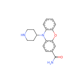 NC(=O)c1ccc2c(c1)Oc1ccccc1N2C1CCNCC1